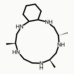 C[C@@H]1CN[C@@H](C)CNC2CCCCC2NC[C@H](C)NCCN1